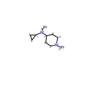 CC(C)N1CCC(N(C(C)C)C2CC2)CC1